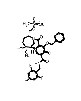 CC(C)(C)[Si](C)(C)OC[C@H]1CC[C@](C)(O)[C@H]2CN1C(=O)c1c(OCc3ccccc3)c(=O)c(C(=O)NCc3c(F)cc(F)cc3F)cn12